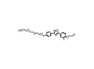 Cc1cc(-c2nc(-c3ccc(COCCOCCOCCO)cc3)no2)ccc1OCCF